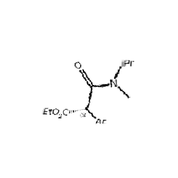 CCOC(=O)[C@@H](C(C)=O)C(=O)N(C)C(C)C